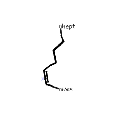 CCCCCC/C=C\CCCCCCCCCC